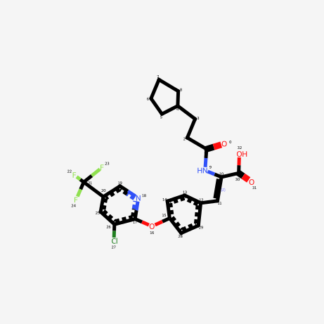 O=C(CCC1CCCC1)N/C(=C\c1ccc(Oc2ncc(C(F)(F)F)cc2Cl)cc1)C(=O)O